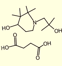 CC(C)(O)CN1CCC(O)C(C)(C)C1(C)C.O=C(O)CCC(=O)O